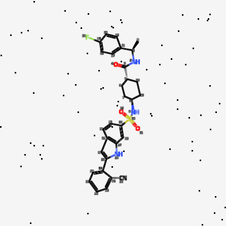 C[C@@H](NC(=O)[C@H]1CC[C@H](NS(=O)(=O)c2ccc3cc(-c4ccccc4C#N)[nH]c3c2)CC1)c1ccc(F)cc1